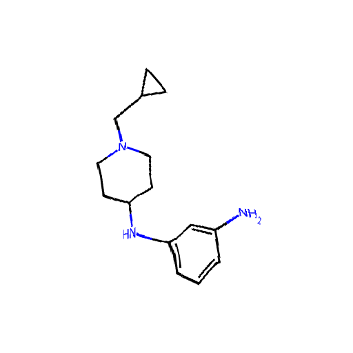 Nc1cccc(NC2CCN(CC3CC3)CC2)c1